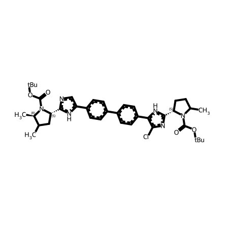 CC1C[C@@H](c2ncc(-c3ccc(-c4ccc(-c5[nH]c([C@@H]6CCC(C)N6C(=O)OC(C)(C)C)nc5Cl)cc4)cc3)[nH]2)N(C(=O)OC(C)(C)C)[C@@H]1C